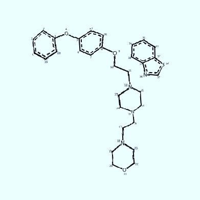 c1ccc(Oc2ccc(OCCN3CCN(CCN4CCOCC4)CC3)cc2)cc1.c1ccc2scnc2c1